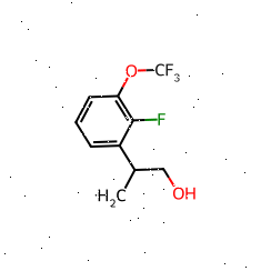 [CH2]C(CO)c1cccc(OC(F)(F)F)c1F